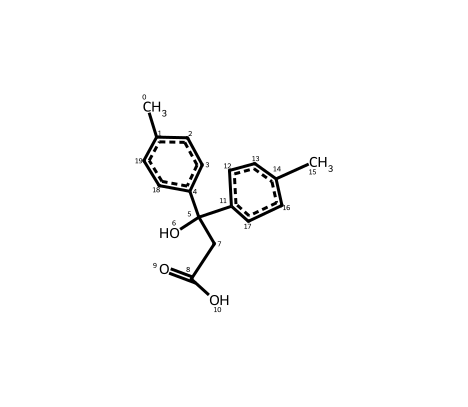 Cc1ccc(C(O)(CC(=O)O)c2ccc(C)cc2)cc1